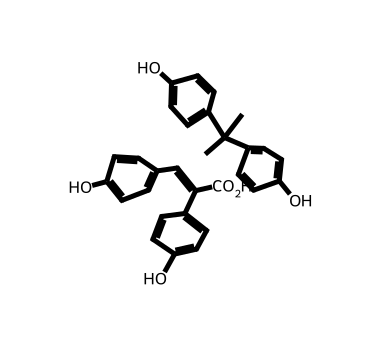 CC(C)(c1ccc(O)cc1)c1ccc(O)cc1.O=C(O)C(=Cc1ccc(O)cc1)c1ccc(O)cc1